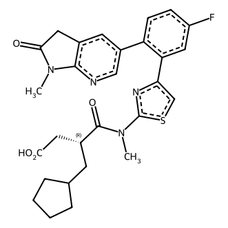 CN(C(=O)[C@@H](CC(=O)O)CC1CCCC1)c1nc(-c2cc(F)ccc2-c2cnc3c(c2)CC(=O)N3C)cs1